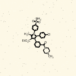 CCOC(=O)c1c(-c2cccc(C(=O)N3CCN(C)CC3)c2)c(-c2ccc(Cl)cc2)n(-c2ccc(S(N)(=O)=O)cc2)c1C